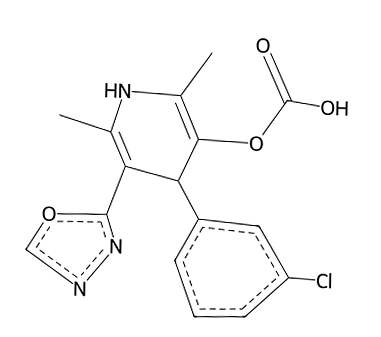 CC1=C(OC(=O)O)C(c2cccc(Cl)c2)C(c2nnco2)=C(C)N1